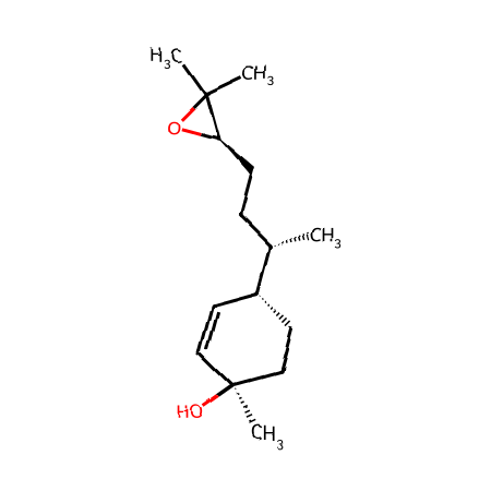 C[C@@H](CC[C@H]1OC1(C)C)[C@H]1C=C[C@](C)(O)CC1